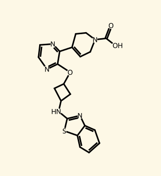 O=C(O)N1CC=C(c2nccnc2OC2CC(Nc3nc4ccccc4s3)C2)CC1